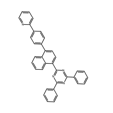 c1ccc(-c2nc(-c3ccccc3)nc(-c3ccc(-c4ccc(-c5ccccn5)cc4)c4ccccc34)n2)cc1